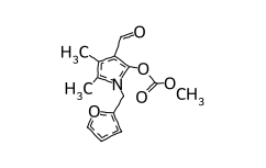 COC(=O)Oc1c(C=O)c(C)c(C)n1Cc1ccco1